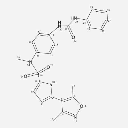 Cc1noc(C)c1-c1ccc(S(=O)(=O)N(C)c2ccc(NC(=O)Nc3ccccc3)cc2)s1